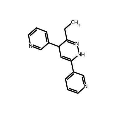 CCC1=NNC(c2cccnc2)=CC1c1cccnc1